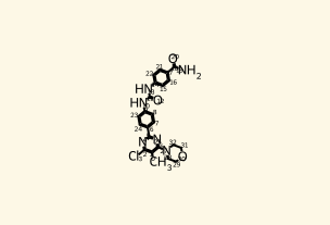 Cc1c(Cl)nc(-c2ccc(NC(=O)Nc3ccc(C(N)=O)cc3)cc2)nc1N1CCOCC1